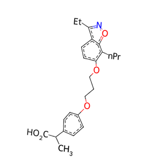 CCCc1c(OCCCOc2ccc(C(C)C(=O)O)cc2)ccc2c(CC)noc12